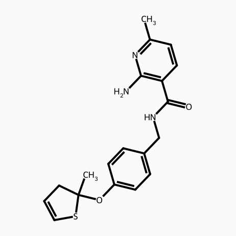 Cc1ccc(C(=O)NCc2ccc(OC3(C)CC=CS3)cc2)c(N)n1